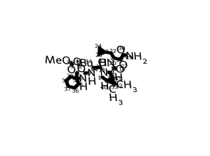 COC(=O)OCC1(NC(=O)N[C@H](C(=O)N2C[C@H]3[C@@H]([C@H]2C(=O)NC(CC2CC2)C(=O)C(N)=O)C3(C)C)C(C)(C)C)CCCCC1